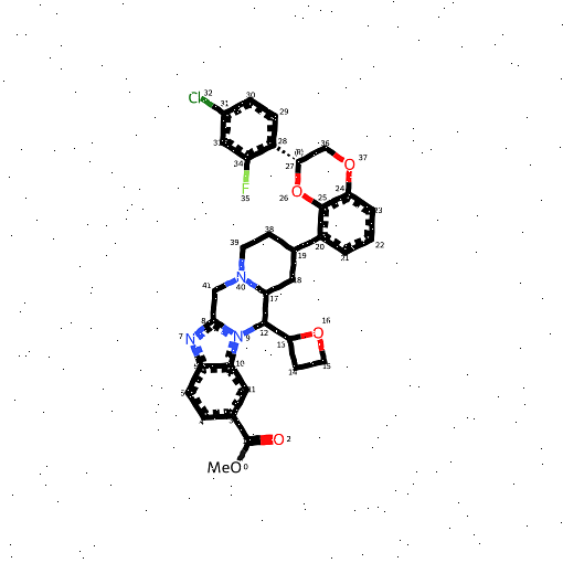 COC(=O)c1ccc2nc3n(c2c1)C(C1CCO1)C1CC(c2cccc4c2O[C@H](c2ccc(Cl)cc2F)CO4)CCN1C3